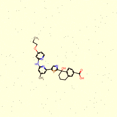 CCCOc1ccnc(Nc2cc(C)cc(-c3cnc(C4(O)CCCc5cc(C(=O)O)ccc54)s3)n2)c1